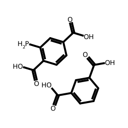 O=C(O)c1ccc(C(=O)O)c(P)c1.O=C(O)c1cccc(C(=O)O)c1